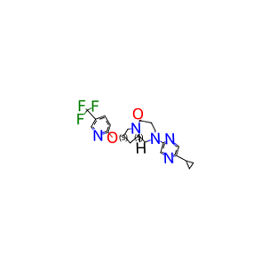 O=C1CCN(c2cnc(C3CC3)cn2)C[C@@H]2C[C@H](Oc3ccc(C(F)(F)F)cn3)CN12